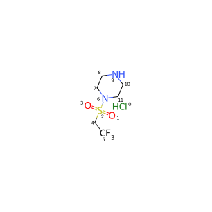 Cl.O=S(=O)(CC(F)(F)F)N1CCNCC1